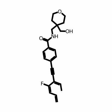 C=C/C=C(F)\C(C#Cc1ccc(C(=O)NCC2(CO)CCOCC2)cc1)=C/C